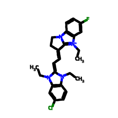 CCN1C(=CC=C2CCn3c2[n+](CC)c2cc(F)ccc23)N(CC)c2cc(Cl)ccc21